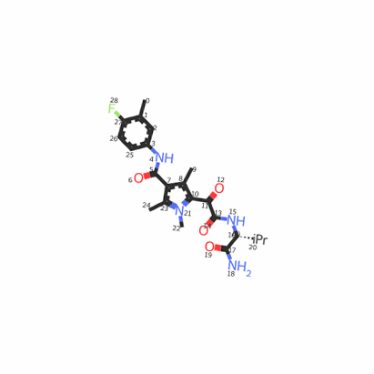 Cc1cc(NC(=O)c2c(C)c(C(=O)C(=O)N[C@@H](C(N)=O)C(C)C)n(C)c2C)ccc1F